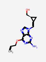 C=CCOc1nc(N)nc2c1ncn2/C=C1/C[C@@H]1CO